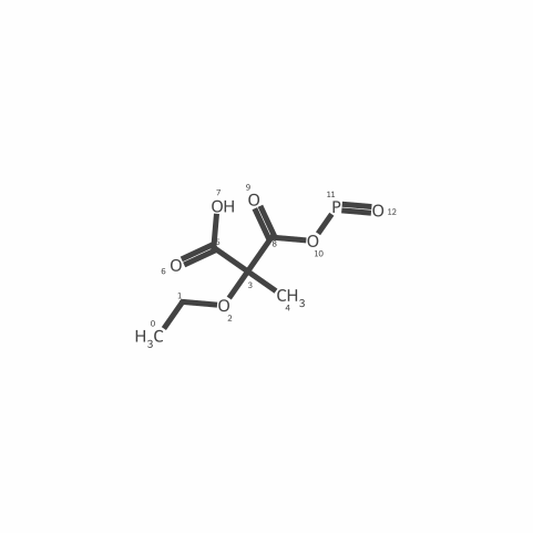 CCOC(C)(C(=O)O)C(=O)OP=O